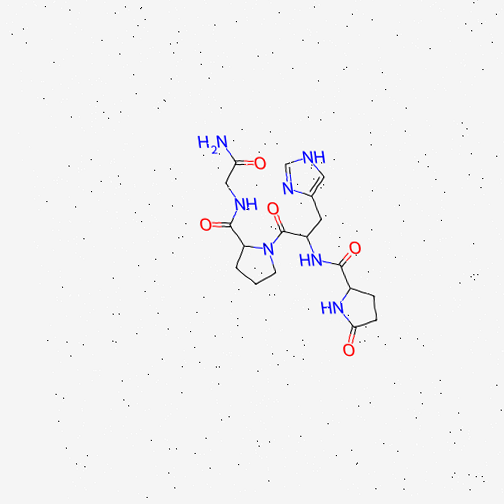 NC(=O)CNC(=O)C1CCCN1C(=O)C(Cc1c[nH]cn1)NC(=O)C1CCC(=O)N1